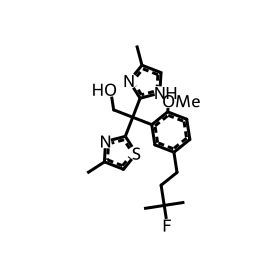 COc1ccc(CCC(C)(C)F)cc1C(CO)(c1nc(C)c[nH]1)c1nc(C)cs1